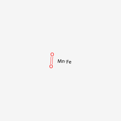 O=O.[Fe].[Mn]